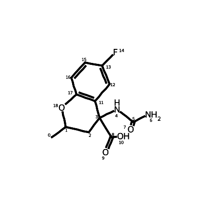 CC1CC(NC(N)=O)(C(=O)O)c2cc(F)ccc2O1